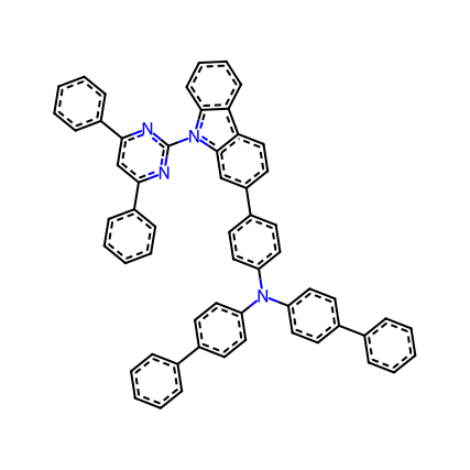 c1ccc(-c2ccc(N(c3ccc(-c4ccccc4)cc3)c3ccc(-c4ccc5c6ccccc6n(-c6nc(-c7ccccc7)cc(-c7ccccc7)n6)c5c4)cc3)cc2)cc1